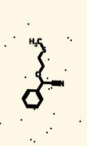 CSCCOC(C#N)c1ccccc1